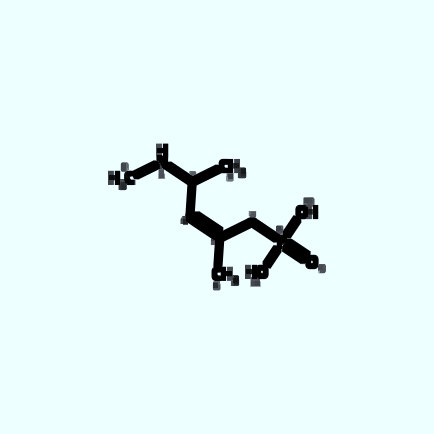 CNC(C)C=C(C)CP(=O)(O)O